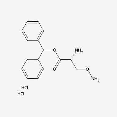 Cl.Cl.NOC[C@@H](N)C(=O)OC(c1ccccc1)c1ccccc1